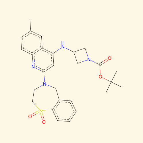 Cc1ccc2nc(N3CCS(=O)(=O)c4ccccc4C3)cc(NC3CN(C(=O)OC(C)(C)C)C3)c2c1